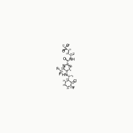 CC(Nc1cnc(C(=O)N[C@H](C)/C=C/S(C)(=O)=O)nc1C(F)F)c1cccc(F)c1Cl